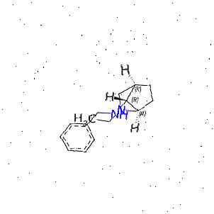 CCN1C[C@H]2CC[C@@H]1[C@@H]2NCc1ccccc1